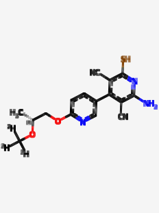 [2H]C([2H])([2H])O[C@H](C)COc1ccc(-c2c(C#N)c(N)nc(S)c2C#N)cn1